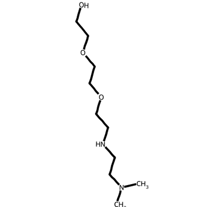 CN(C)CCNCCOCCOCCO